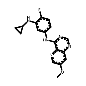 COc1cnc2c(Nc3ccc(F)c(NC4CC4)c3)ncnc2c1